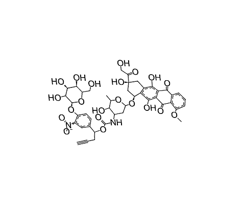 C#CCC(OC(=O)NC1CC(O[C@H]2C[C@](O)(C(=O)CO)Cc3c(O)c4c(c(O)c32)C(=O)c2c(OC)cccc2C4=O)OC(C)C1O)c1ccc(O[C@@H]2OC(CO)[C@H](O)[C@H](O)C2O)c([N+](=O)[O-])c1